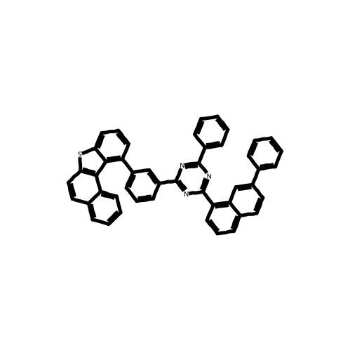 c1ccc(-c2ccc3cccc(-c4nc(-c5ccccc5)nc(-c5cccc(-c6cccc7sc8ccc9ccccc9c8c67)c5)n4)c3c2)cc1